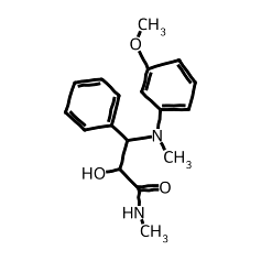 CNC(=O)C(O)C(c1ccccc1)N(C)c1cccc(OC)c1